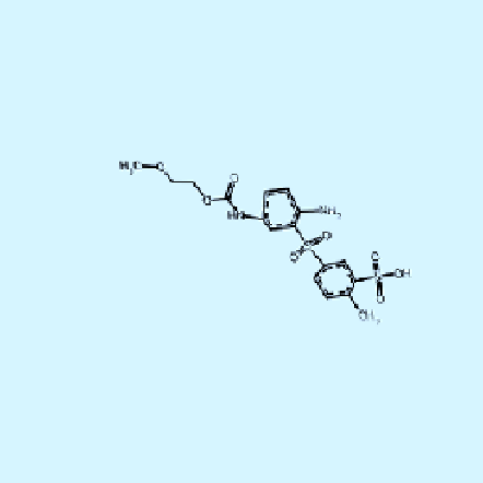 COCCOC(=O)Nc1ccc(N)c(S(=O)(=O)c2ccc(C)c(S(=O)(=O)O)c2)c1